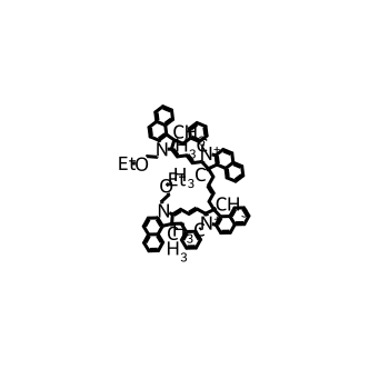 CCOCCN1/C(=C/C=C/C2=[N+](C)c3ccc4ccccc4c3C2(C)CC=CCC2(C)C(/C=C/C=C3/N(CCOCC)c4ccc5ccccc5c4C3(C)Cc3ccccc3)=[N+](C)c3ccc4ccccc4c32)C(C)(Cc2ccccc2)c2c1ccc1ccccc21